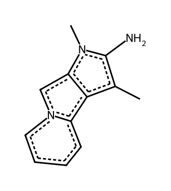 Cc1c(N)n(C)c2cn3ccccc3c12